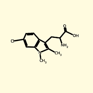 Cc1c(CC(N)C(=O)O)c2ccc(Cl)cc2n1C